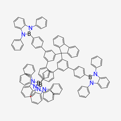 c1ccc(N2B(c3ccc(-c4cc(-c5ccc(B6N(c7ccccc7)c7ccccc7N6c6ccccc6)cc5)cc(C5(c6cc(-c7ccc(B8N(c9ccccc9)c9ccccc9N8c8ccccc8)cc7)cc(-c7ccc(B8N(c9ccccc9)c9ccccc9N8c8ccccc8)cc7)c6)c6ccccc6-c6ccccc65)c4)cc3)N(c3ccccc3)c3ccccc32)cc1